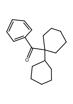 O=C(c1ccccc1)C1(C2CCCCC2)CCCCC1